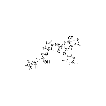 Cc1cc(F)ccc1Oc1cc(C2CC2)c(C(F)(F)F)cc1C(=O)Nc1ccc(F)c(OCC(O)CNC23CC(C2)C3)c1